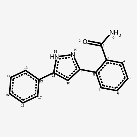 NC(=O)c1ccccc1-c1cc(-c2ccccc2)[nH]n1